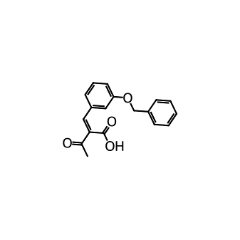 CC(=O)/C(=C/c1cccc(OCc2ccccc2)c1)C(=O)O